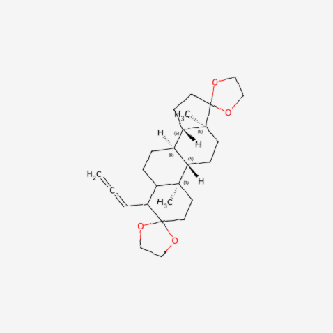 C=C=CC1C2CC[C@@H]3[C@H](CC[C@@]4(C)[C@H]3CCC43OCCO3)[C@@]2(C)CCC12OCCO2